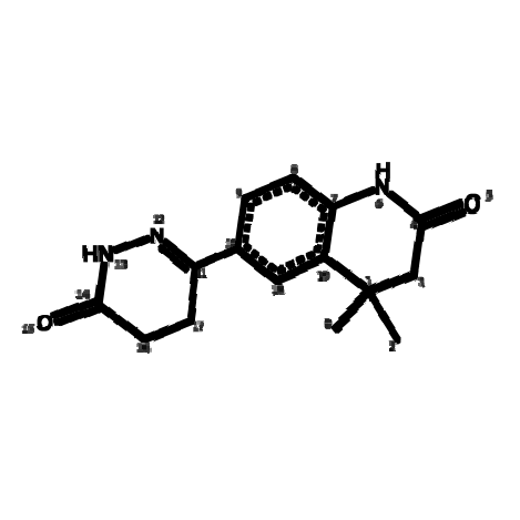 CC1(C)CC(=O)Nc2ccc(C3=NNC(=O)CC3)cc21